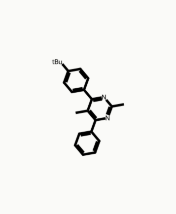 Cc1nc(-c2ccccc2)c(C)c(-c2ccc(C(C)(C)C)cc2)n1